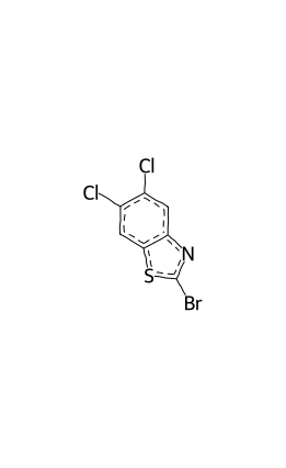 Clc1cc2nc(Br)sc2cc1Cl